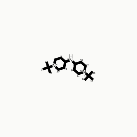 CC(C)(C)N1CCC(NC2CCN(C(C)(C)C)CC2)CC1